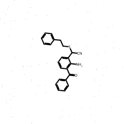 N#CC(SCCc1ccccc1)c1cccc(C(=O)c2ccccc2)c1N